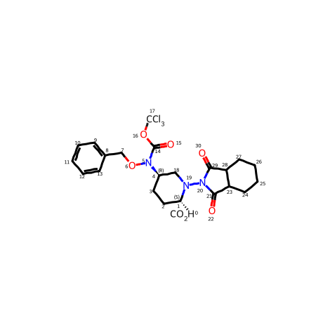 O=C(O)[C@@H]1CC[C@@H](N(OCc2ccccc2)C(=O)OC(Cl)(Cl)Cl)CN1N1C(=O)C2CCCCC2C1=O